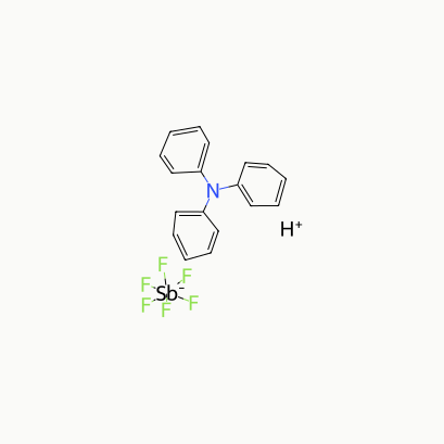 [F][Sb-]([F])([F])([F])([F])[F].[H+].c1ccc(N(c2ccccc2)c2ccccc2)cc1